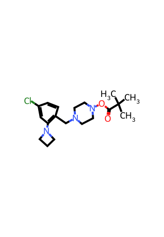 CC(C)(C)C(=O)ON1CCN(Cc2ccc(Cl)cc2N2CCC2)CC1